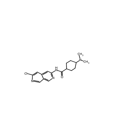 CN(C)C1CCC(C(=O)Nc2cc3cc(Cl)ncc3cn2)CC1